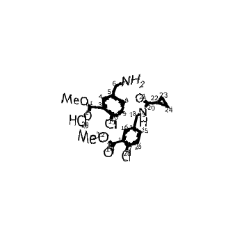 COC(=O)c1cc(CN)ccc1Cl.COC(=O)c1cc(CNC(=O)C2CC2)ccc1Cl.Cl